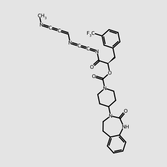 CN=C=C=CN=C=C=NC(=O)[C@@H](Cc1cccc(C(F)(F)F)c1)OC(=O)N1CCC(N2CCc3ccccc3NC2=O)CC1